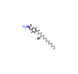 CCCCCCCCCCCCCCc1ccc(SC(N)=S)cc1.[Zn]